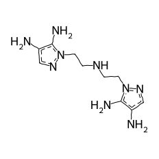 Nc1cnn(CCNCCn2ncc(N)c2N)c1N